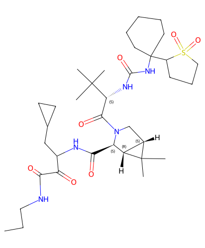 CCCNC(=O)C(=O)C(CC1CC1)NC(=O)[C@@H]1[C@@H]2[C@H](CN1C(=O)[C@@H](NC(=O)NC1(C3CCCS3(=O)=O)CCCCC1)C(C)(C)C)C2(C)C